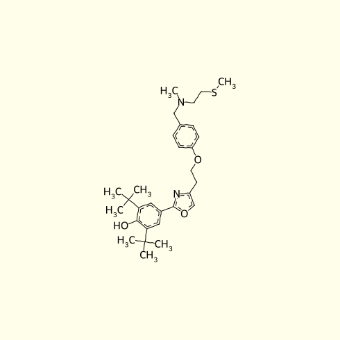 CSCCN(C)Cc1ccc(OCCc2coc(-c3cc(C(C)(C)C)c(O)c(C(C)(C)C)c3)n2)cc1